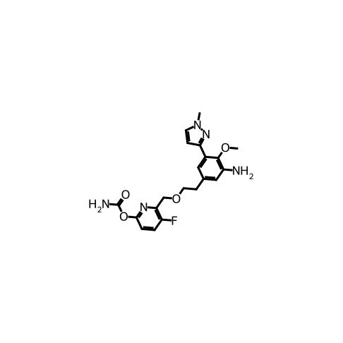 COc1c(N)cc(CCOCc2nc(OC(N)=O)ccc2F)cc1-c1ccn(C)n1